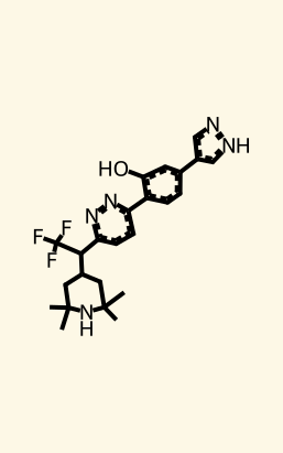 CC1(C)CC(C(c2ccc(-c3ccc(-c4cn[nH]c4)cc3O)nn2)C(F)(F)F)CC(C)(C)N1